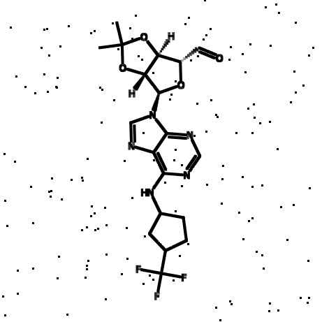 CC1(C)O[C@@H]2[C@@H](O1)[C@H](n1cnc3c(NC4CCC(C(F)(F)F)C4)ncnc31)O[C@H]2C=O